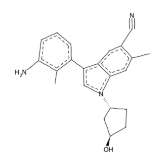 Cc1cc2c(cc1C#N)c(-c1cccc(N)c1C)cn2[C@@H]1CC[C@@H](O)C1